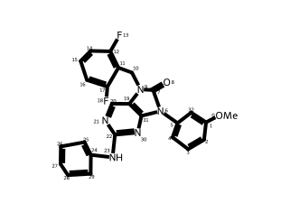 COc1cccc(-n2c(=O)n(Cc3c(F)cccc3F)c3cnc(Nc4ccccc4)nc32)c1